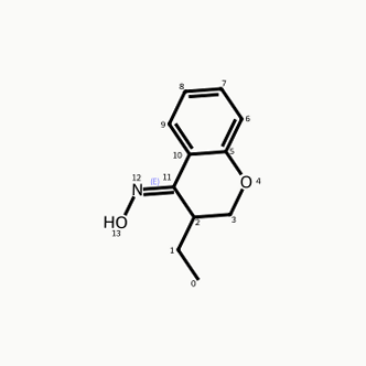 CCC1COc2ccccc2/C1=N/O